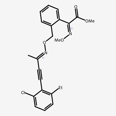 CCc1cccc(Cl)c1C#C/C(C)=N/OCc1ccccc1/C(=N\OC)C(=O)OC